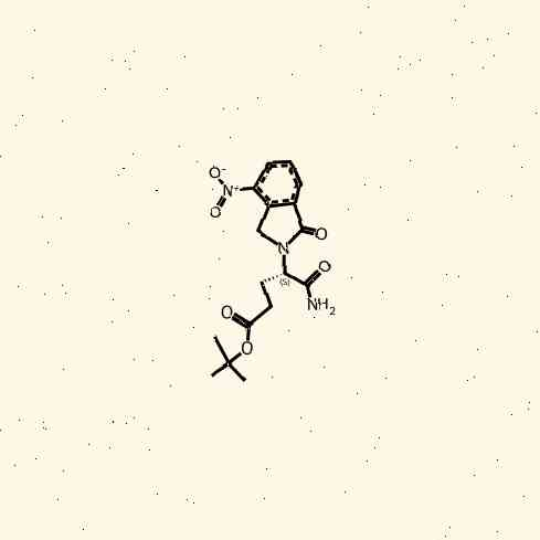 CC(C)(C)OC(=O)CC[C@@H](C(N)=O)N1Cc2c(cccc2[N+](=O)[O-])C1=O